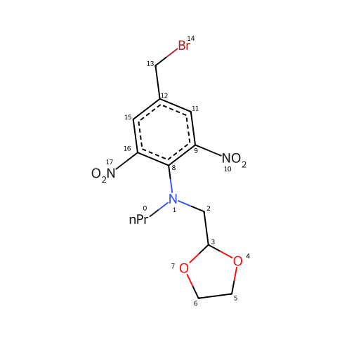 CCCN(CC1OCCO1)c1c([N+](=O)[O-])cc(CBr)cc1[N+](=O)[O-]